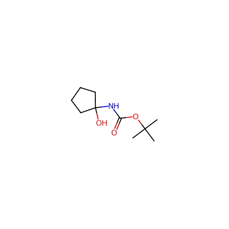 CC(C)(C)OC(=O)NC1(O)CCCC1